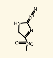 CS(=O)(=O)C1=NC(=[N+]=[N-])NC1